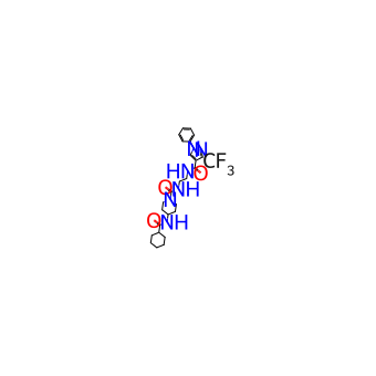 O=C(NCCNC(=O)N1CCC(NC(=O)C2CCCCC2)CC1)c1cn(-c2ccccc2)nc1C(F)(F)F